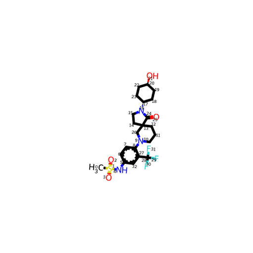 CS(=O)(=O)Nc1ccc(N2CCCC3(CCN([C@H]4CC[C@H](O)CC4)C3=O)C2)c(C(F)(F)F)c1